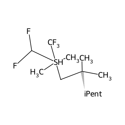 CCC[C@@H](C)C(C)(C)C[SH](C)(C)(C(F)F)C(F)(F)F